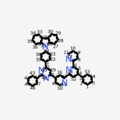 c1ccc(-c2cc(-c3ccccn3)nc(-c3cc(-c4cc(-c5ccc(-n6c7ccccc7c7ccccc76)cc5)nc(-c5ccccc5)n4)ccn3)c2)cc1